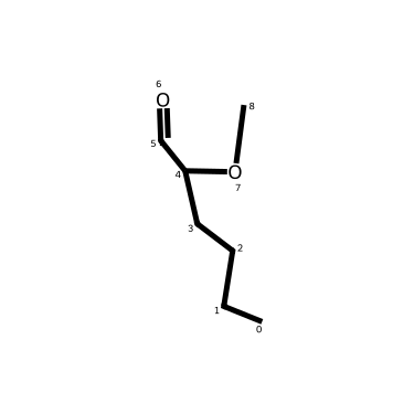 CCCCC([C]=O)OC